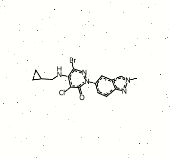 Cn1cc2cc(-n3nc(Br)c(NCC4CC4)c(Cl)c3=O)ccc2n1